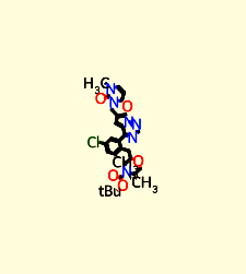 Cc1cc(Cl)cc(-c2ncnn3cc(Cn4c(=O)ccn(C)c4=O)cc23)c1CC1CN(C(=O)OC(C)(C)C)[C@@H](C)CO1